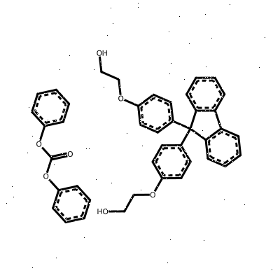 O=C(Oc1ccccc1)Oc1ccccc1.OCCOc1ccc(C2(c3ccc(OCCO)cc3)c3ccccc3-c3ccccc32)cc1